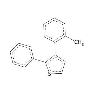 Cc1ccccc1-c1ccsc1-c1ccccc1